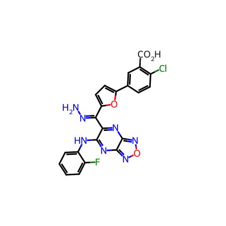 NN=C(c1ccc(-c2ccc(Cl)c(C(=O)O)c2)o1)c1nc2nonc2nc1Nc1ccccc1F